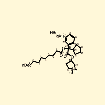 Br.CCCCCCCCCCCCCCCCCC(=O)OC(C(=O)OC1CC[N+](C)(C)C1)(c1ccccc1)C1CCCC1.[Mg+2]